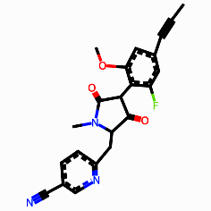 CC#Cc1cc(F)c(C2C(=O)C(Cc3ccc(C#N)cn3)N(C)C2=O)c(OC)c1